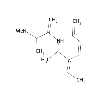 C=C/C=C\C(=C/C)C(C)NC(=C)C(C)NC